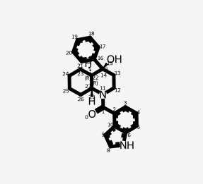 O=C(c1cccc2[nH]ccc12)N1CC[C@@](O)(c2ccccc2)[C@@H]2CCCC[C@H]21